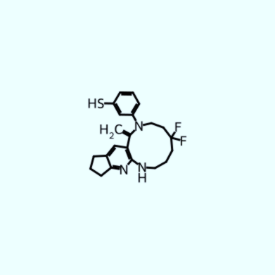 C=C1c2cc3c(nc2NCCCC(F)(F)CCN1c1cccc(S)c1)CCC3